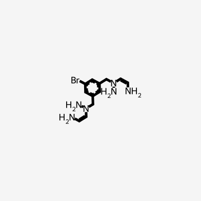 N/C=C\N(N)Cc1cc(Br)cc(CN(N)/C=C\N)c1